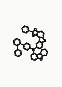 c1ccc(-c2nc3c(ccc4sc5ccc(N(c6ccc(-c7ccccc7-c7ccccc7)cc6)c6cccc7oc8ccccc8c67)cc5c43)o2)cc1